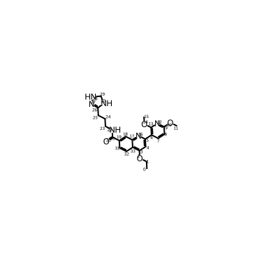 CCOc1cc(-c2ccc(OC)nc2OC)nc2cc(C(=O)NCCCC3=NNCN3)ccc12